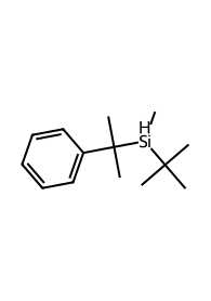 C[SiH](C(C)(C)C)C(C)(C)c1ccccc1